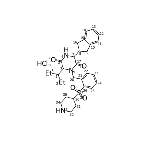 CCC(CC)C1C(=O)NC(C2Cc3ccccc3C2)C(=O)N1Cc1ccccc1S(=O)(=O)C1CCNCC1.Cl